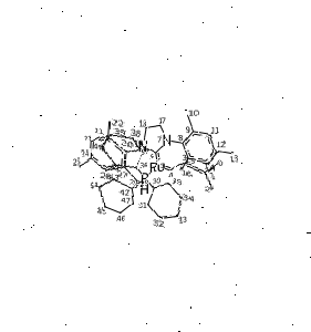 CC(C)=C/[CH]=[Ru](=[C]1N(c2c(C)cc(C)cc2C)CCN1c1c(C)cc(C)cc1C)/[PH](C1CCCCC1)(C1CCCCC1)C1CCCCC1